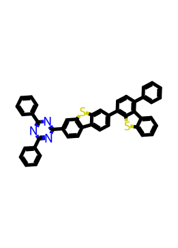 c1ccc(-c2nc(-c3ccccc3)nc(-c3ccc4c(c3)sc3cc(-c5ccc(-c6ccccc6)c6c5sc5ccccc56)ccc34)n2)cc1